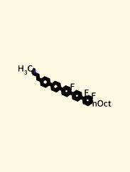 C/C=C/CCC1CCC(C2CC=C(c3ccc(-c4ccc(-c5ccc(CCCCCCCC)c(F)c5F)cc4)c(F)c3)CC2)CC1